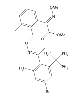 CO/N=C(/C(=O)OC)c1cccc(C)c1CO/N=C(\C)c1c(P)cc(Br)cc1C(P)(P)P